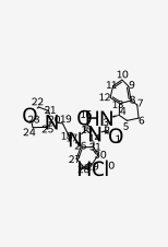 Cl.O=C(N[C@@H]1CCCc2ccccc21)n1c(=O)n(CCN2CCOCC2)c2ccccc21